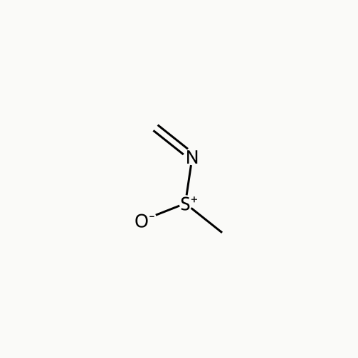 C=N[S+](C)[O-]